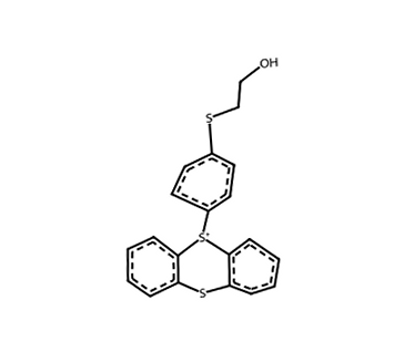 OCCSc1ccc([S+]2c3ccccc3Sc3ccccc32)cc1